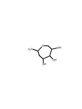 CC(=O)OC1COC(C)CC(O)C1O